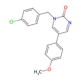 COc1ccc(-c2cnc(=O)n(Cc3ccc(Cl)cc3)c2)cc1